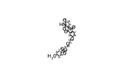 Cc1ccc(S(=O)(=O)OCCOCCOc2ccc3c(c2)C(=O)N(C2CCC(=O)NC2=O)C3=O)cc1